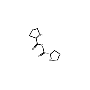 O=C(OC(=O)[C@@H]1CSCN1)C1CSCN1